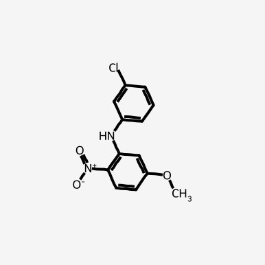 COc1ccc([N+](=O)[O-])c(Nc2cccc(Cl)c2)c1